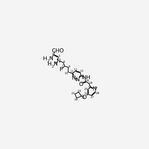 N/C(C=O)=C\N(N)CC(F)CCc1ccc(NC(=O)Cc2cc(OC3CCC3)ccn2)nn1